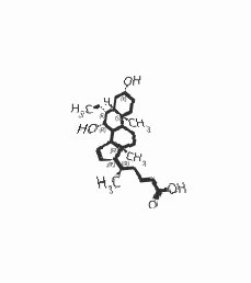 CC[C@H]1[C@@H](O)C2C3CC[C@H]([C@H](C)CCCC(=O)O)[C@@]3(C)CCC2[C@@]2(C)CC[C@@H](O)C[C@@H]12